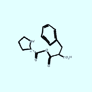 O=C(O)C(Cc1ccccc1)C(=O)OC(=O)[C@@H]1CCCN1